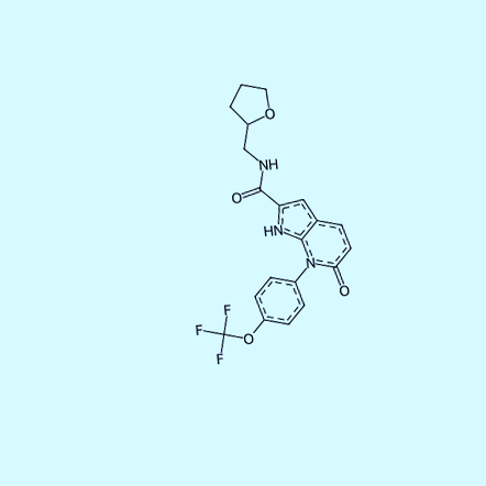 O=C(NCC1CCCO1)c1cc2ccc(=O)n(-c3ccc(OC(F)(F)F)cc3)c2[nH]1